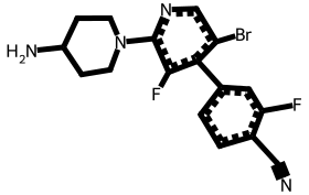 N#Cc1ccc(-c2c(Br)cnc(N3CCC(N)CC3)c2F)cc1F